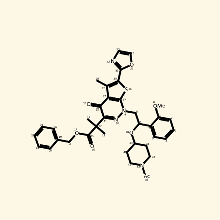 COc1ccccc1C(Cn1nc(C(C)(C)C(=O)OCc2ccccc2)c(=O)c2c(C)c(-c3ncco3)sc21)OC1CCN(C(C)=O)CC1